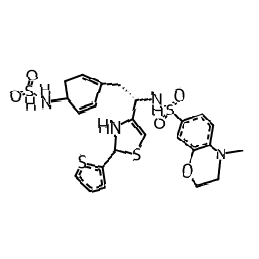 CN1CCOc2cc(S(=O)(=O)N[C@@H](CC3=CCC(N[SH](=O)=O)C=C3)C3=CSC(c4cccs4)N3)ccc21